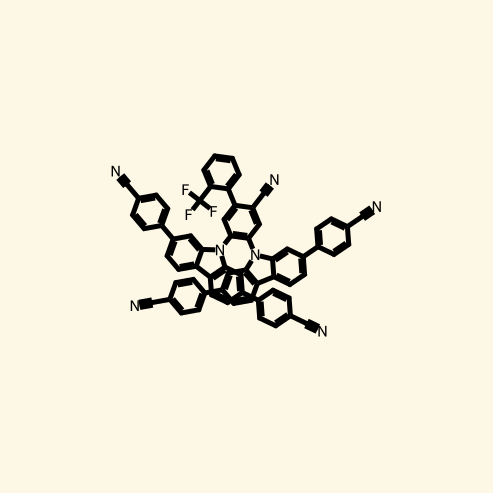 N#Cc1ccc(-c2ccc3c4ccc(-c5ccc(C#N)cc5)cc4n(-c4cc(C#N)c(-c5ccccc5C(F)(F)F)cc4-n4c5cc(-c6ccc(C#N)cc6)ccc5c5ccc(-c6ccc(C#N)cc6)cc54)c3c2)cc1